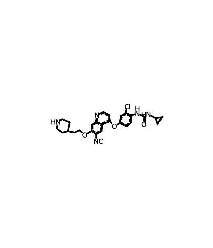 [C-]#[N+]c1cc2c(Oc3ccc(NC(=O)NC4CC4)c(Cl)c3)ccnc2cc1OCCC1CCNCC1